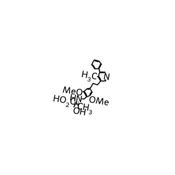 COc1cc(CCc2cncc(-c3ccccc3)c2C)cc(OC)c1CN[C@@](C)(CO)C(=O)O